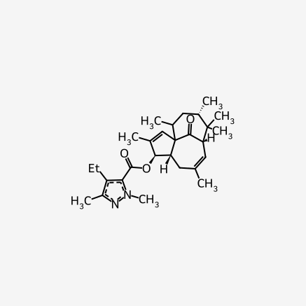 CCc1c(C)nn(C)c1C(=O)O[C@H]1C(C)=CC23C(=O)[C@@H](C=C(C)C[C@H]12)C(C)(C)[C@@H](C)CC3C